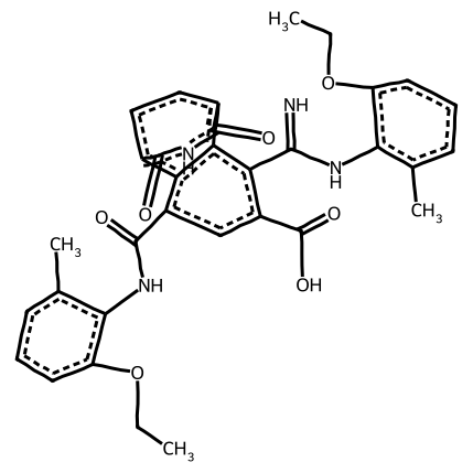 CCOc1cccc(C)c1NC(=N)c1c(C(=O)O)cc(C(=O)Nc2c(C)cccc2OCC)c2c3ccc(c(=O)[nH]c3=O)c12